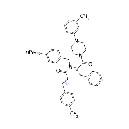 CCCCCc1ccc(CN(C(=O)/C=C/c2ccc(C(F)(F)F)cc2)[C@@H](Cc2ccccc2)C(=O)N2CCN(c3cccc(C)c3)CC2)cc1